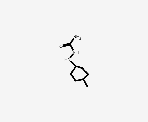 CC1CCC(NNC(N)=O)CC1